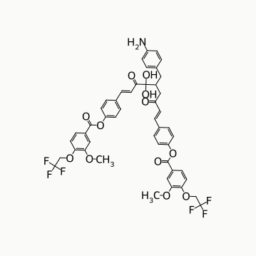 COc1cc(C(=O)Oc2ccc(/C=C/C(=O)CC(Cc3ccc(N)cc3)C(O)(O)C(=O)/C=C/c3ccc(OC(=O)c4ccc(OCC(F)(F)F)c(OC)c4)cc3)cc2)ccc1OCC(F)(F)F